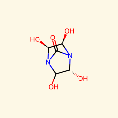 O=C1N2C(O)[C@@H](O)N1[C@H](O)[C@@H]2O